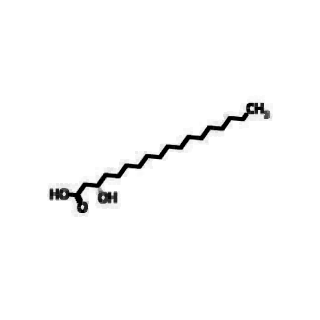 CCCCCCCCCCCCCCC[C@H](O)CC(=O)O